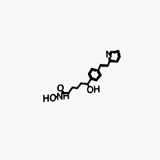 O=C(CCCCC(O)c1ccc(/C=C/c2ccccn2)cc1)NO